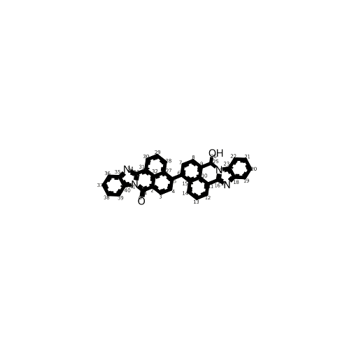 O=c1c2ccc(-c3ccc4c5c(cccc35)-c3nc5ccccc5n3C4O)c3cccc(c32)c2nc3ccccc3n12